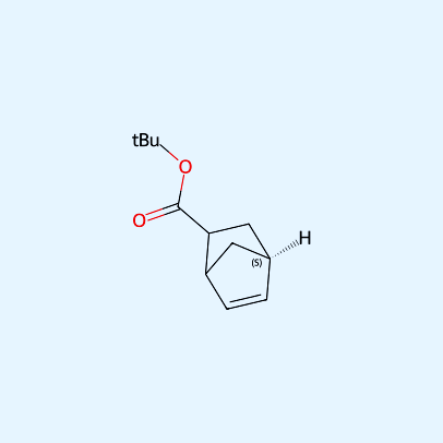 CC(C)(C)OC(=O)C1C[C@H]2C=CC1C2